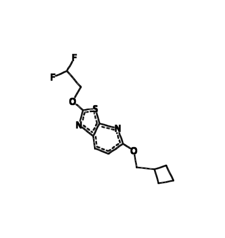 FC(F)COc1nc2ccc(OCC3CCC3)nc2s1